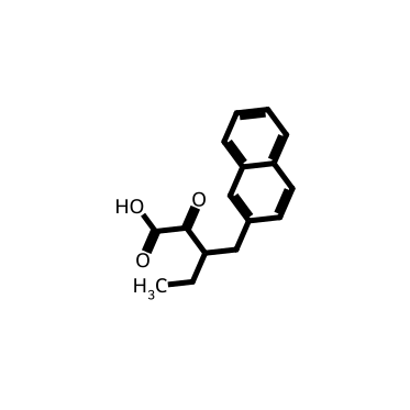 CCC(Cc1ccc2ccccc2c1)C(=O)C(=O)O